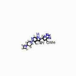 COc1cc(-c2[nH]c3cnc(N4CCC(N5CCC5)CC4)c(C)c3c2C(C)C)cn2ncnc12